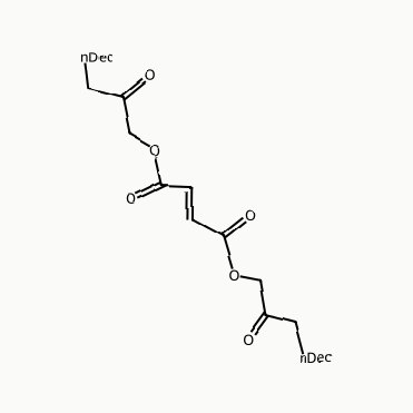 CCCCCCCCCCCC(=O)COC(=O)/C=C/C(=O)OCC(=O)CCCCCCCCCCC